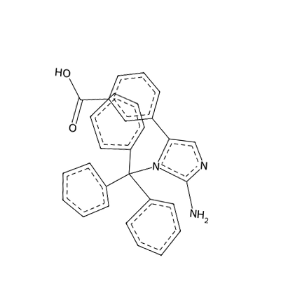 Nc1ncc(-c2cccc(C(=O)O)c2)n1C(c1ccccc1)(c1ccccc1)c1ccccc1